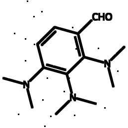 CN(C)c1ccc(C=O)c(N(C)C)c1N(C)C